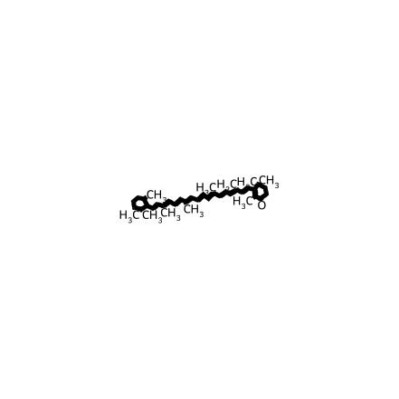 CC1=C(/C=C/C(C)=C/C=C/C(C)=C/C=C/C=C(C)/C=C/C=C(C)/C=C/C2C(C)CCCC2(C)C)C(C)(C)CCC1=O